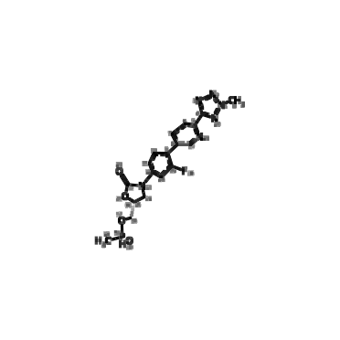 Cn1nnc(-c2ccc(-c3ccc(N4C[C@H](CO[PH](C)=O)OC4=O)cc3F)cn2)n1